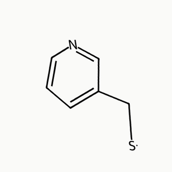 [S]Cc1cccnc1